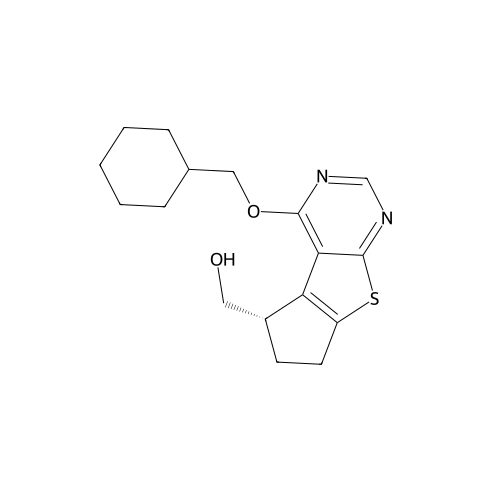 OC[C@H]1CCc2sc3ncnc(OCC4CCCCC4)c3c21